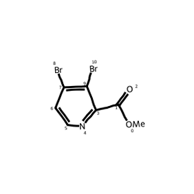 COC(=O)c1nccc(Br)c1Br